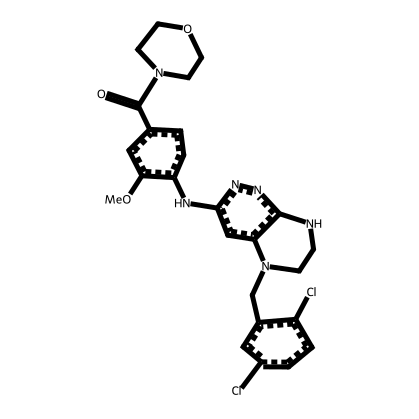 COc1cc(C(=O)N2CCOCC2)ccc1Nc1cc2c(nn1)NCCN2Cc1cc(Cl)ccc1Cl